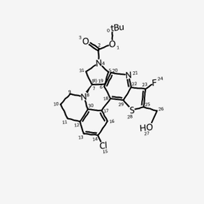 CC(C)(C)OC(=O)N1CC[C@@H](N2CCCc3cc(Cl)cc(-c4ccnc5c(F)c(CO)sc45)c32)C1